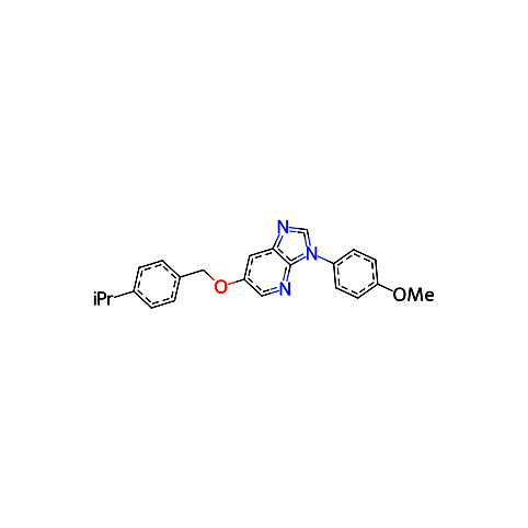 COc1ccc(-n2cnc3cc(OCc4ccc(C(C)C)cc4)cnc32)cc1